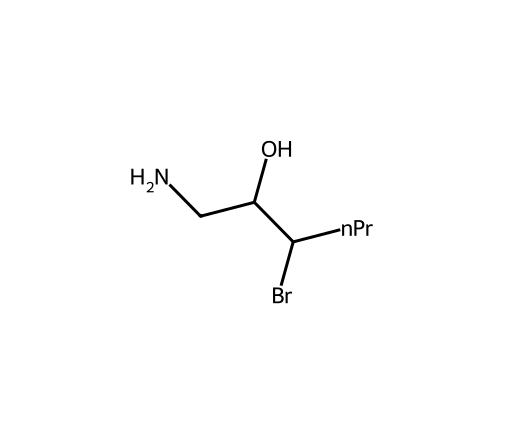 CCCC(Br)C(O)CN